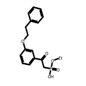 CCOP(=O)(O)CC(=O)c1cccc(OCCc2ccccc2)c1